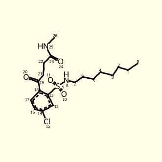 CCCCCCCCNS(=O)(=O)c1cc(Cl)ccc1C(=O)CCC(=O)NC